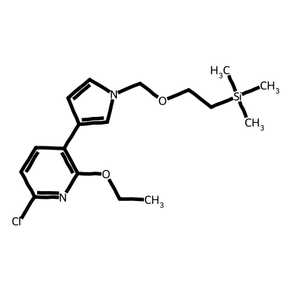 CCOc1nc(Cl)ccc1-c1ccn(COCC[Si](C)(C)C)c1